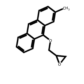 Cc1ccc2cc3ccccc3c(OCC3CO3)c2c1